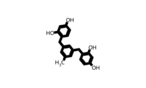 Cc1cc(Cc2ccc(O)cc2O)[c]c(Cc2ccc(O)cc2O)c1